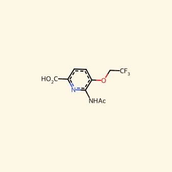 CC(=O)Nc1nc(C(=O)O)ccc1OCC(F)(F)F